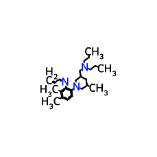 C=C/C=N\c1c(N2CC(C)CC(CN(CCC)CCC)C2)ccc(C)c1C